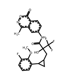 COc1c(F)cccc1C1CC1CC(O)(C(=O)Nc1ccc2c(=O)onc(C)c2c1)C(F)(F)F